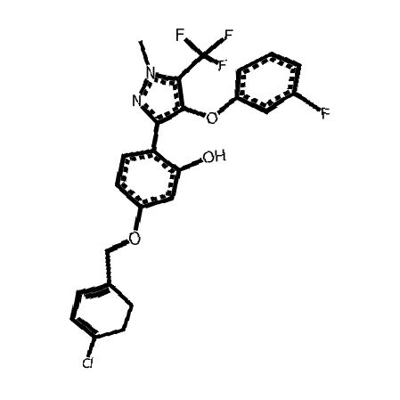 Cn1nc(-c2ccc(OCC3=CC=C(Cl)CC3)cc2O)c(Oc2cccc(F)c2)c1C(F)(F)F